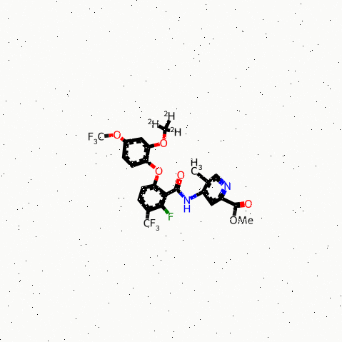 [2H]C([2H])([2H])Oc1cc(OC(F)(F)F)ccc1Oc1ccc(C(F)(F)F)c(F)c1C(=O)Nc1cc(C(=O)OC)ncc1C